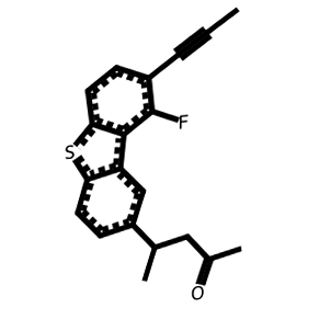 CC#Cc1ccc2sc3ccc(C(C)CC(C)=O)cc3c2c1F